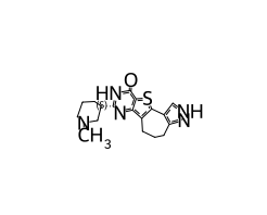 CN1CCC[C@H](c2nc3c4c(sc3c(=O)[nH]2)-c2c[nH]nc2CCC4)C1